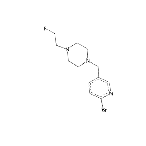 FCCN1CCN(Cc2ccc(Br)nc2)CC1